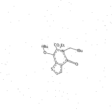 CCCCOc1c(C(=O)OCC)n(CC(C)(C)C)c(=O)c2ccsc12